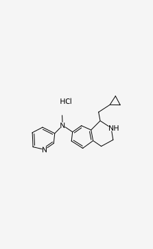 CN(c1cccnc1)c1ccc2c(c1)C(CC1CC1)NCC2.Cl